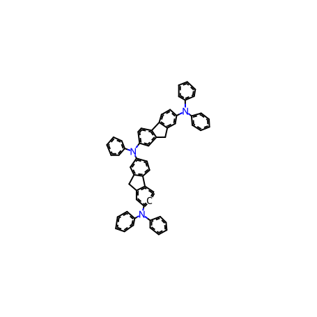 c1ccc(N(c2ccccc2)c2ccc3c(c2)Cc2cc(N(c4ccccc4)c4ccc5c(c4)Cc4cc(N(c6ccccc6)c6ccccc6)ccc4-5)ccc2-3)cc1